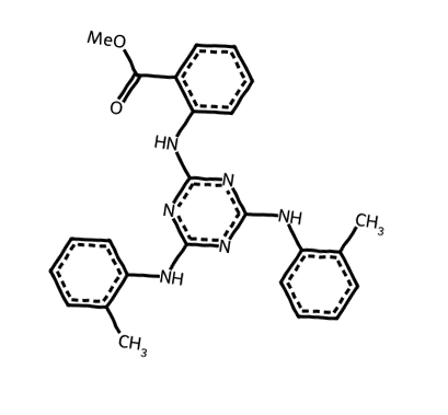 COC(=O)c1ccccc1Nc1nc(Nc2ccccc2C)nc(Nc2ccccc2C)n1